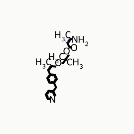 CC(=Cc1ccc(Cc2cccnc2)cc1)COCC(C)(C)COC(=O)/C=C(/C)N